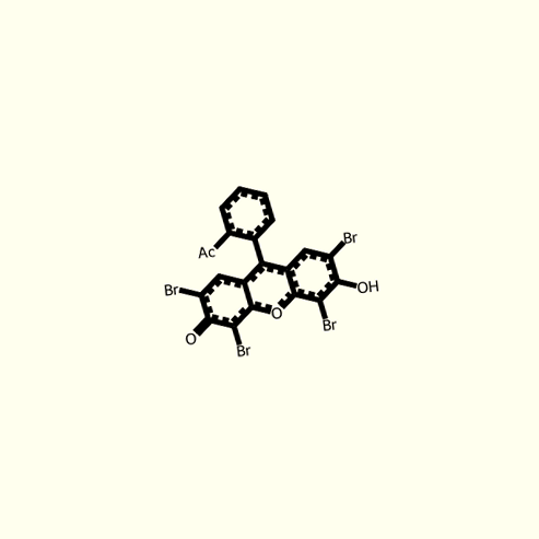 CC(=O)c1ccccc1-c1c2cc(Br)c(=O)c(Br)c-2oc2c(Br)c(O)c(Br)cc12